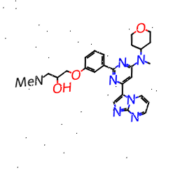 CNCC(O)COc1cccc(-c2nc(-c3cnc4ncccn34)cc(N(C)C3CCOCC3)n2)c1